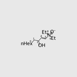 CCCCCCCC(O)C=C[N+]([O-])(CC)CC